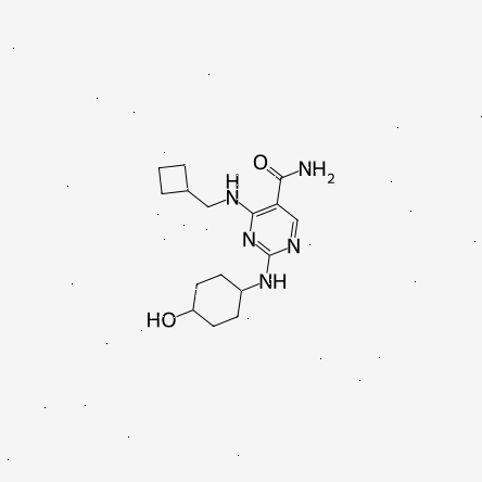 NC(=O)c1cnc(NC2CCC(O)CC2)nc1NCC1CCC1